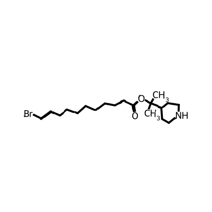 CC(C)(OC(=O)CCCCCCCCCCBr)C1CCNCC1